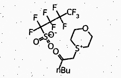 CCCCC(=O)C[S+]1CCOCC1.O=S(=O)([O-])C(F)(F)C(F)(F)C(F)(F)C(F)(F)F